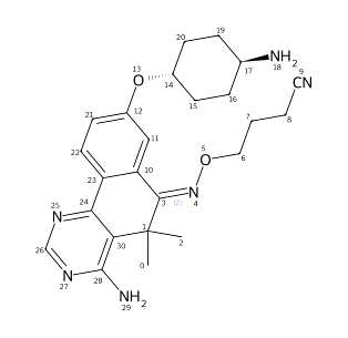 CC1(C)/C(=N/OCCCC#N)c2cc(O[C@H]3CC[C@H](N)CC3)ccc2-c2ncnc(N)c21